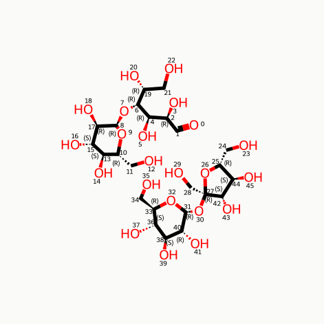 O=C[C@H](O)[C@@H](O)[C@H](O[C@H]1O[C@H](CO)[C@@H](O)[C@H](O)[C@H]1O)[C@H](O)CO.OC[C@H]1O[C@](CO)(O[C@H]2O[C@H](CO)[C@@H](O)[C@H](O)[C@H]2O)[C@@H](O)[C@@H]1O